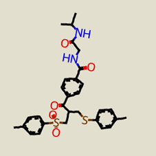 Cc1ccc(SCC(CS(=O)(=O)c2ccc(C)cc2)C(=O)c2ccc(C(=O)NCC(=O)NC(C)C)cc2)cc1